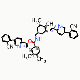 C[C@H]1[C@H](/C=C/c2ccc(-c3ccccc3C#N)cn2)[C@@H](C(=O)NCC2C[C@@H](/C=C/c3ccc(-c4ccccc4C#N)cn3)[C@H](C)[C@@H](C)C2)CC[C@@H]1C